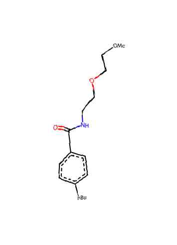 CCCCc1ccc(C(=O)NCCOCCOC)cc1